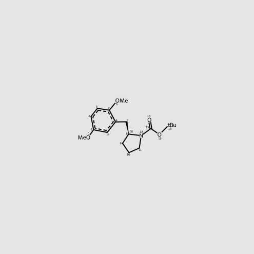 COc1ccc(OC)c(C[C@@H]2CCCN2C(=O)OC(C)(C)C)c1